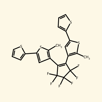 Cc1sc(-c2cccs2)cc1C1=C(c2cc(-c3cccs3)sc2C)C(F)(F)C(F)(F)C1(F)F